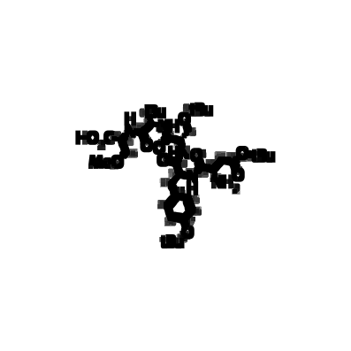 CC[C@H](C)[C@H](NC(=O)[C@H](COC(C)(C)C)NC(=O)[C@H](Cc1ccc(OC(C)(C)C)cc1)NC(=O)[C@@H](N)CC(=O)OC(C)(C)C)C(=O)N[C@H](COC)C(=O)O